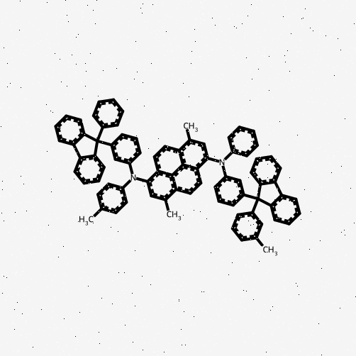 Cc1ccc(N(c2cccc(C3(c4ccccc4)c4ccccc4-c4ccccc43)c2)c2cc(C)c3ccc4c(N(c5ccccc5)c5cccc(C6(c7cccc(C)c7)c7ccccc7-c7ccccc76)c5)cc(C)c5ccc2c3c54)cc1